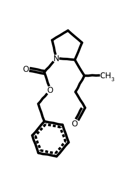 CC(CC=O)C1CCCN1C(=O)OCc1ccccc1